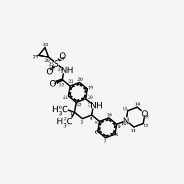 CC1(C)CC(c2cccc(N3CCOCC3)c2)Nc2ccc(C(=O)NS(=O)(=O)C3CC3)cc21